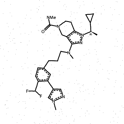 CNC(=O)N1CCc2c(c(N(C)CCCc3ccc(C(F)F)c(-c4cnn(C)c4)c3)nn2[C@H](C)C2CC2)C1